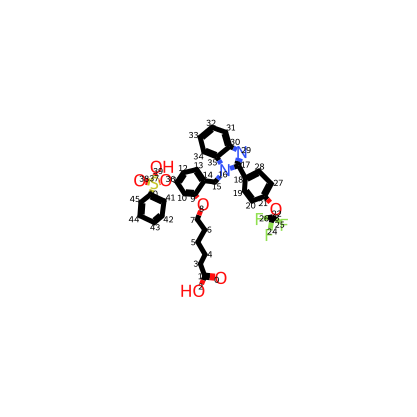 O=C(O)CCCCCOc1ccccc1Cn1c(-c2ccc(OC(F)(F)F)cc2)nc2ccccc21.O=S(=O)(O)c1ccccc1